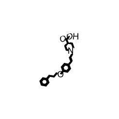 O=C(O)C1CCN(CC=Cc2ccc(OCCCc3ccccc3)cc2)CC1